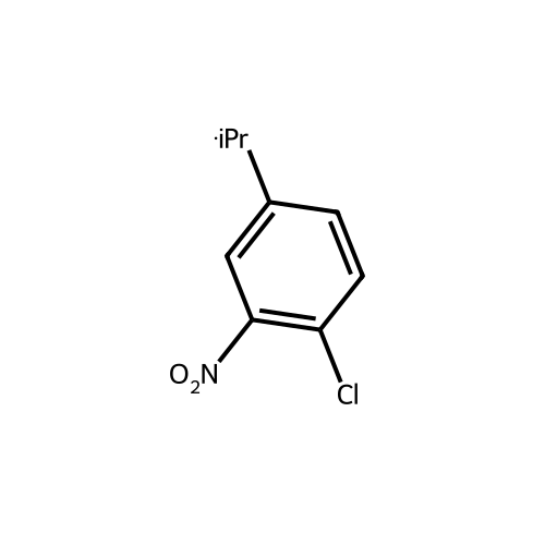 C[C](C)c1ccc(Cl)c([N+](=O)[O-])c1